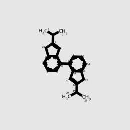 CC(C)C1=Cc2c(cccc2-c2cccc3c2C=C(C(C)C)C3)C1